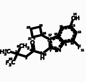 CC(C)(CC(=O)Nc1nc2c(F)cc(O)cc2n1C1CCC1)C(F)(F)F